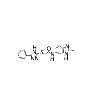 Cc1nc2ccc(NC(=O)CSc3nnc(-c4ccccc4)[nH]3)cc2[nH]1